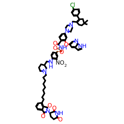 CC1(C)CCC(CN2CCN(c3ccc(C(=O)NS(=O)(=O)c4ccc(NCC5CCCN(CCCCCCCCCc6cccc7c6C(=O)N(C6CCC(=O)NC6=O)C7=O)C5)c([N+](=O)[O-])c4)c(Oc4cnc5[nH]ccc5c4)c3)CC2)=C(c2ccc(Cl)cc2)C1